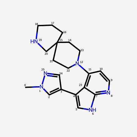 Cn1cc(-c2c[nH]c3nccc(N4CCC5(CCCNC5)CC4)c23)cn1